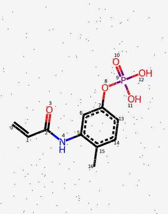 C=CC(=O)Nc1cc(OP(=O)(O)O)ccc1C